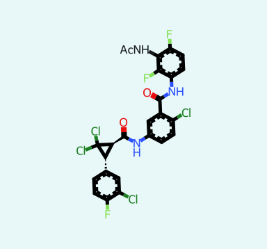 CC(=O)Nc1c(F)ccc(NC(=O)c2cc(NC(=O)[C@H]3[C@H](c4ccc(F)c(Cl)c4)C3(Cl)Cl)ccc2Cl)c1F